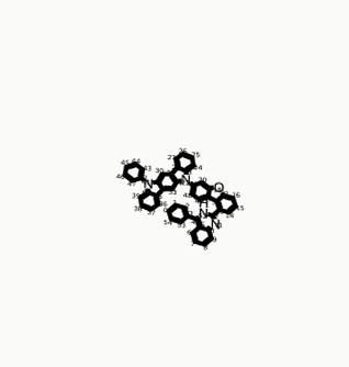 c1ccc(C2=c3ccccc3=NC(c3cccc4oc5cc(-n6c7ccccc7c7cc8c(cc76)c6ccccc6n8-c6ccccc6)ccc5c34)N2)cc1